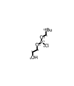 CC(C)(C)COP(Cl)OCCO